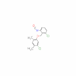 Cc1cc(C)c(OCc2c(Cl)cccc2N=C=O)cc1Cl